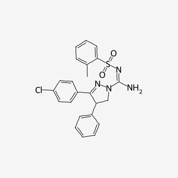 Cc1ccccc1S(=O)(=O)N=C(N)N1CC(c2ccccc2)C(c2ccc(Cl)cc2)=N1